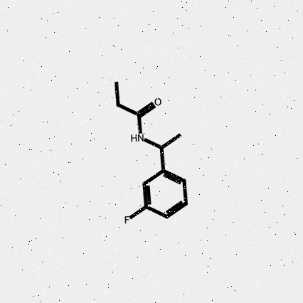 CCC(=O)NC(C)c1cccc(F)c1